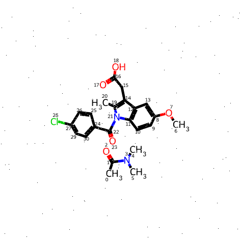 CC(=O)N(C)C.COc1ccc2c(c1)c(CC(=O)O)c(C)n2C(=O)c1ccc(Cl)cc1